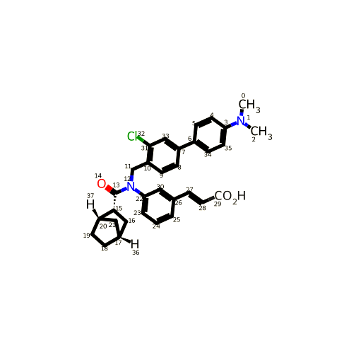 CN(C)c1ccc(-c2ccc(CN(C(=O)[C@@H]3C[C@@H]4CC[C@H]3C4)c3cccc(C=CC(=O)O)c3)c(Cl)c2)cc1